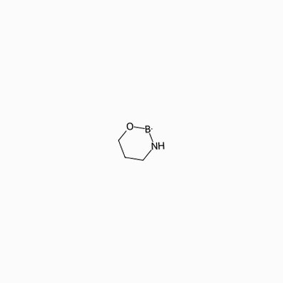 [B]1NCCCO1